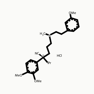 COc1cccc(CCN(C)CCC[C@@](C#N)(c2ccc(OC)c(OC)c2)C(C)C)c1.Cl